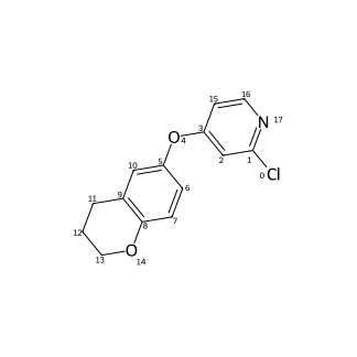 Clc1cc(Oc2ccc3c(c2)CCCO3)ccn1